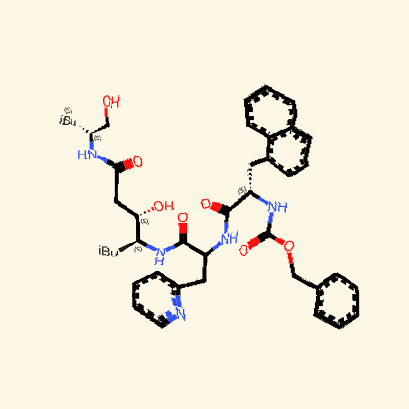 CCC(C)[C@H](NC(=O)C(Cc1ccccn1)NC(=O)[C@H](Cc1cccc2ccccc12)NC(=O)OCc1ccccc1)[C@@H](O)CC(=O)N[C@H](CO)[C@@H](C)CC